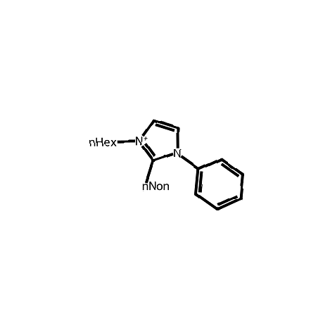 CCCCCCCCCc1n(-c2ccccc2)cc[n+]1CCCCCC